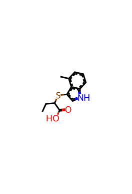 CCC(Sc1c[nH]c2cccc(C)c12)C(=O)O